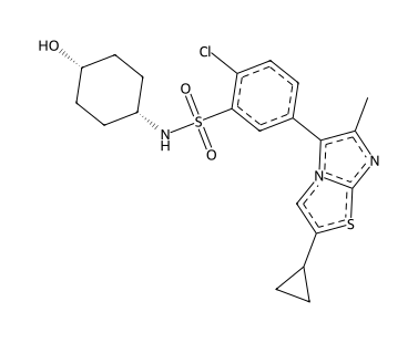 Cc1nc2sc(C3CC3)cn2c1-c1ccc(Cl)c(S(=O)(=O)N[C@H]2CC[C@@H](O)CC2)c1